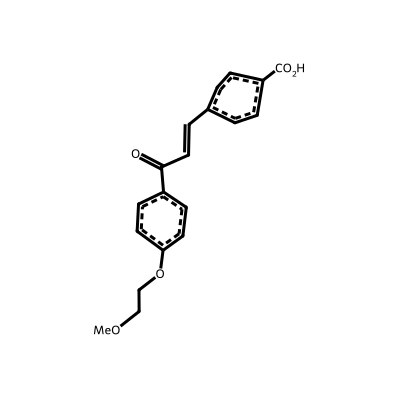 COCCOc1ccc(C(=O)C=Cc2ccc(C(=O)O)cc2)cc1